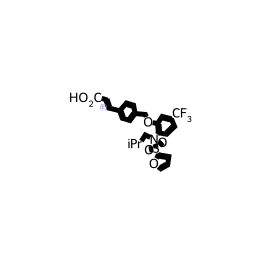 CC(C)CN(c1ccc(C(F)(F)F)cc1OCc1ccc(/C=C/C(=O)O)cc1)S(=O)(=O)c1ccco1